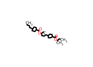 CCCCC1CCC(C(=O)OC2CCC(C3CCC(C(=O)OC(C)CC)CC3)CC2)CC1